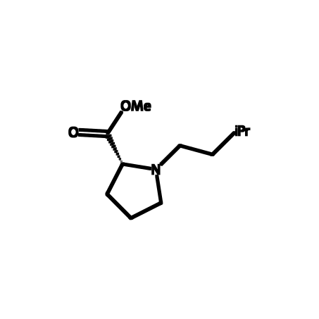 COC(=O)[C@H]1CCCN1CCC(C)C